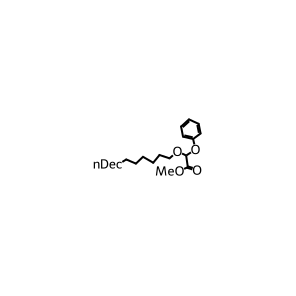 CCCCCCCCCCCCCCCCOC(Oc1ccccc1)C(=O)OC